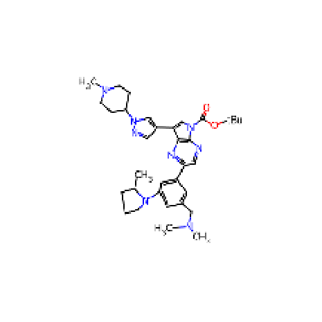 CC1CCCN1c1cc(CN(C)C)cc(-c2cnc3c(n2)c(-c2cnn(C4CCN(C)CC4)c2)cn3C(=O)OC(C)(C)C)c1